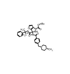 CCCCOC(=O)N1NC(NC(=O)c2ccc(CN3CCN(C)CC3)cc2)(C(=O)NC(C)(C)c2ccccc2)c2occc21